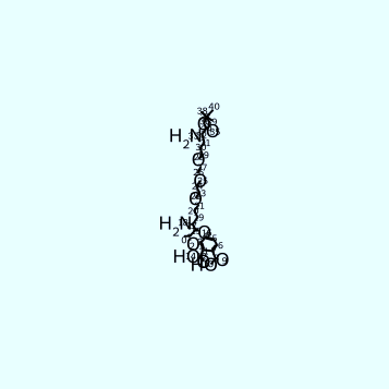 CC(Oc1cccc(C(=O)O)c1C(=O)O)C(=O)C(N)CCCOCCOCCOCCCC(N)C(=O)OC(C)(C)C